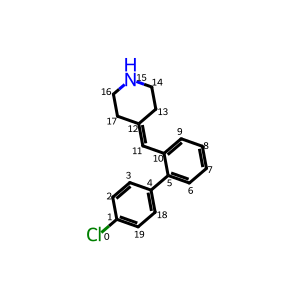 Clc1ccc(-c2ccccc2C=C2CCNCC2)cc1